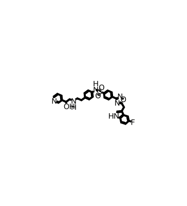 O=S(=O)(Nc1ccc(CCNCC(O)c2cccnc2)cc1)c1ccc(-c2noc(Cc3c[nH]c4ccc(F)cc34)n2)cc1